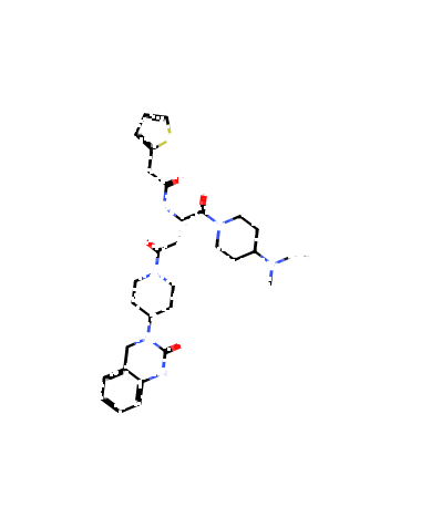 CCCCCN(C)C1CCN(C(=O)[C@H](CC(=O)N2CCC(N3Cc4ccccc4NC3=O)CC2)NC(=O)Cc2cccs2)CC1